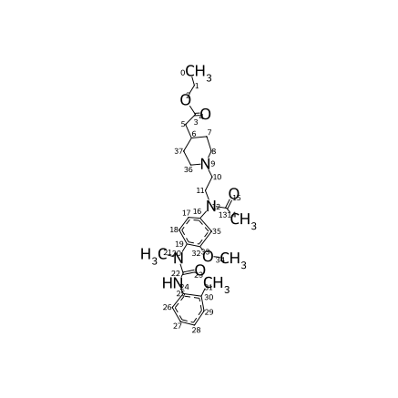 CCOC(=O)CC1CCN(CCN(C(C)=O)c2ccc(N(C)C(=O)Nc3ccccc3C)c(OC)c2)CC1